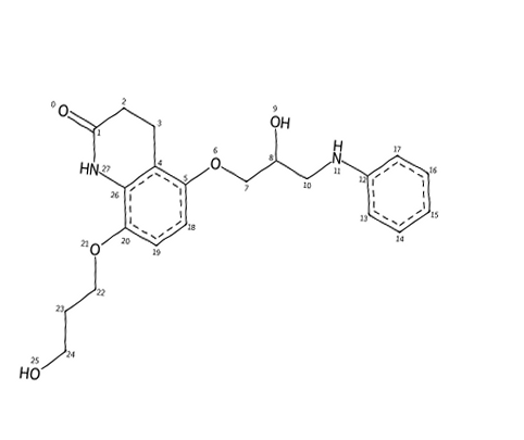 O=C1CCc2c(OCC(O)CNc3ccccc3)ccc(OCCCO)c2N1